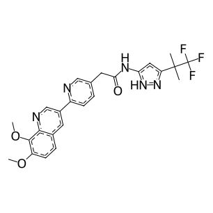 COc1ccc2cc(-c3ccc(CC(=O)Nc4cc(C(C)(C)C(F)(F)F)n[nH]4)cn3)cnc2c1OC